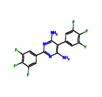 Nc1nc(-c2cc(F)c(F)c(F)c2)nc(N)c1-c1cc(F)c(F)c(F)c1